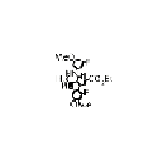 CCOC(=O)c1cc(-c2c(F)cc(OC)cc2F)c(C(C)=N)c(Nc2cc(F)cc(OC)c2)n1